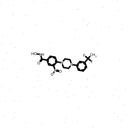 CC(F)(F)c1cccc(N2CCN(c3ccc(C(=O)NO)cc3[N+](=O)[O-])CC2)c1